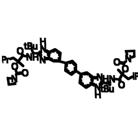 CC(C)CC(C)(OC(=O)N1CCC1)C(=O)NC(c1nc2cc(-c3ccc(-c4ccc5[nH]c([C@@H](NC(=O)C(C)(CC(C)C)OC(=O)N6CCC6)C(C)(C)C)nc5c4)cc3)ccc2[nH]1)C(C)(C)C